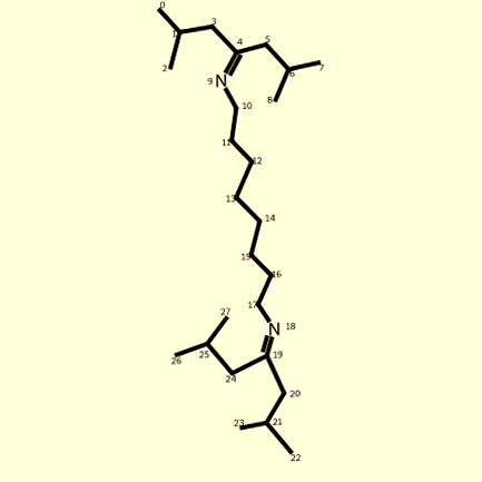 CC(C)CC(CC(C)C)=NCCCCCCCCN=C(CC(C)C)CC(C)C